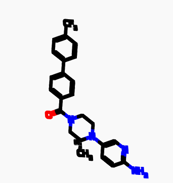 C[C@@H]1CN(C(=O)c2ccc(-c3ccc(C(F)(F)F)cc3)cc2)CCN1c1ccc(N)nc1